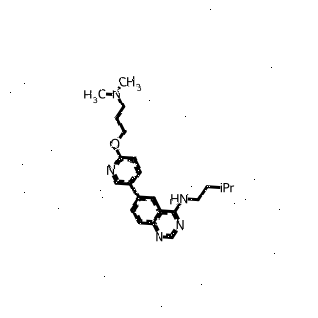 CC(C)CCNc1ncnc2ccc(-c3ccc(OCCCN(C)C)nc3)cc12